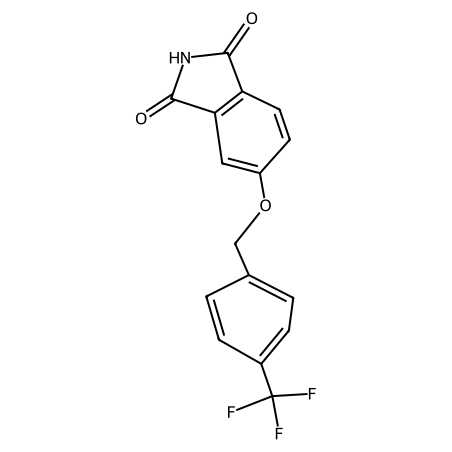 O=C1NC(=O)c2cc(OCc3ccc(C(F)(F)F)cc3)ccc21